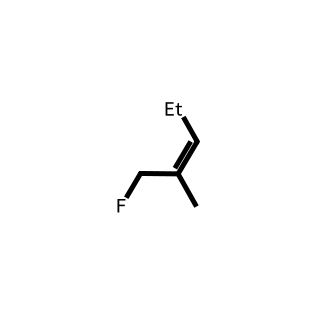 CCC=C(C)CF